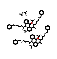 CC(=O)OC(C)=O.CC(=O)OC(CCCOCc1ccccc1)C(C)c1ccccc1C(=O)c1ccccc1C(C)C(CCCOCc1ccccc1)OC(C)=O.CC(=O)OC(CCCOCc1ccccc1)C(C)c1ccccc1C(=O)c1ccccc1C(C)C(CCCOCc1ccccc1)OC(C)=O